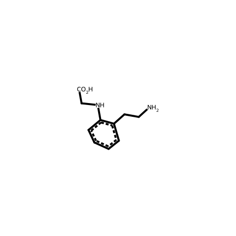 NCCc1ccccc1NCC(=O)O